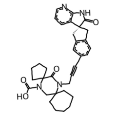 O=C(O)N1CC2(CCCCCC2)N(CC#Cc2ccc3c(c2)C[C@@]2(C3)C(=O)Nc3ncccc32)C(=O)C12CCCC2